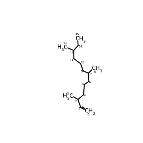 C=CC(C)CCCC(C)CCCC(C)CC